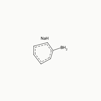 Bc1ccccc1.[NaH]